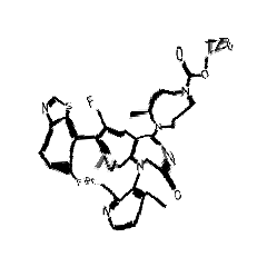 Cc1ccnc(C(C)C)c1-n1c(=O)nc(N2CCN(C(=O)OC(C)(C)C)C[C@@H]2C)c2cc(F)c(-c3c(F)ccc4ncsc34)nc21